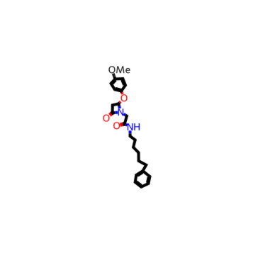 COc1ccc(OC2CC(=O)N2CC(=O)NCCCCCCc2ccccc2)cc1